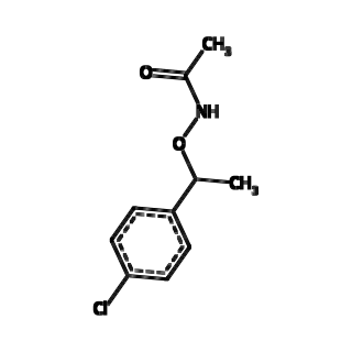 CC(=O)NOC(C)c1ccc(Cl)cc1